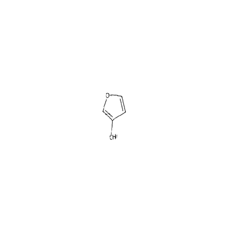 [CH]c1ccoc1